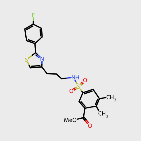 COC(=O)c1cc(S(=O)(=O)NCCCc2csc(-c3ccc(F)cc3)n2)cc(C)c1C